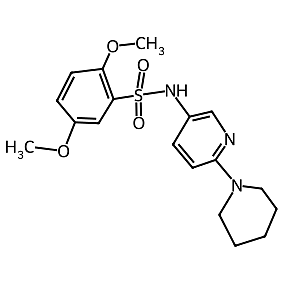 COc1ccc(OC)c(S(=O)(=O)Nc2ccc(N3CCCCC3)nc2)c1